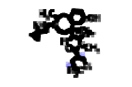 C/C=C\C(=C/CC)C(=O)N(C)C(CCC)C(CC)C1(CCC)CCN(CCC2(N)CC2)C(C)CC2=C1C[C@H](O)C=C2